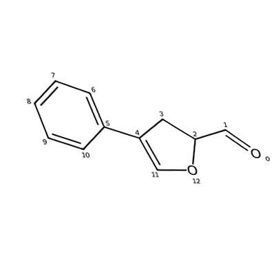 O=CC1CC(c2ccccc2)=CO1